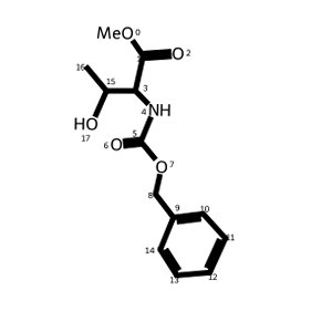 COC(=O)C(NC(=O)OCc1ccccc1)C(C)O